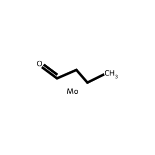 CCCC=O.[Mo]